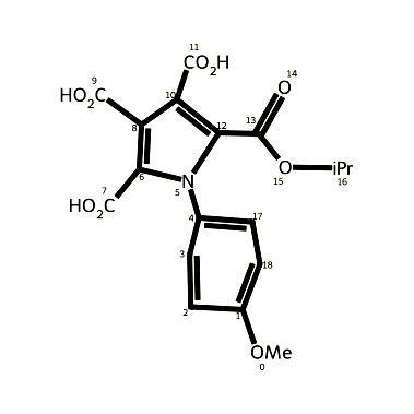 COc1ccc(-n2c(C(=O)O)c(C(=O)O)c(C(=O)O)c2C(=O)OC(C)C)cc1